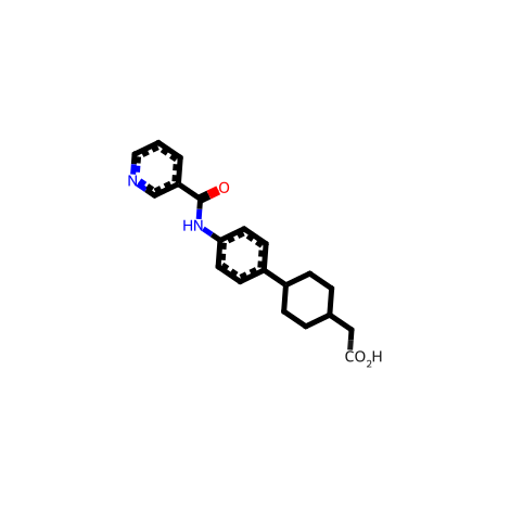 O=C(O)CC1CCC(c2ccc(NC(=O)c3cccnc3)cc2)CC1